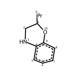 CC(C)C1CNc2ccccc2O1